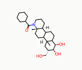 CC12C[C@@H](CO)[C@H](O)[C@H](O)C1CCC1[C@@H]2CC[C@@]2(C)[C@H]1CCCN2C(=O)C1CCCCC1